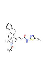 CO/N=C1\C[C@@H](CCC(=O)Nc2ncc(C)s2)C2C3CCc4ccccc4C3CC[C@]12C